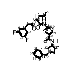 CCC[C@H](NC(=O)Cc1cc(F)cc(F)c1)C(=O)Nc1ncc(C(C)NC2CCN(Cc3ccccc3)C2)s1